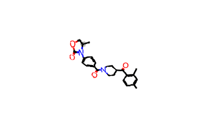 Cc1ccc(C(=O)C2CCN(C(=O)c3ccc(N4C(=O)OC[C@H]4C)cc3)CC2)c(C)c1